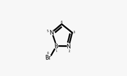 BrB1N=CC=N1